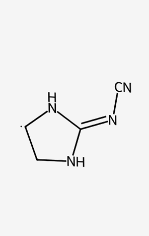 N#C/N=C1\N[CH]CN1